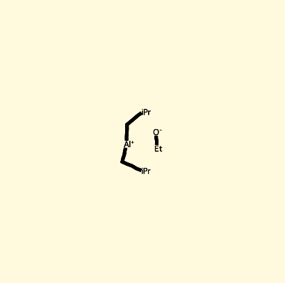 CC(C)[CH2][Al+][CH2]C(C)C.CC[O-]